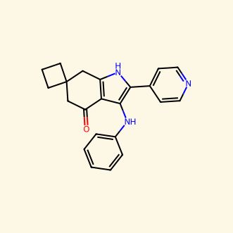 O=C1CC2(CCC2)Cc2[nH]c(-c3ccncc3)c(Nc3ccccc3)c21